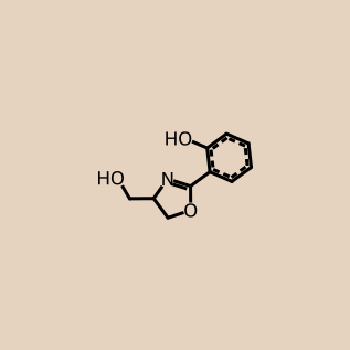 OCC1COC(c2ccccc2O)=N1